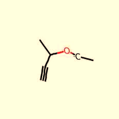 C#CC(C)O[CH]C